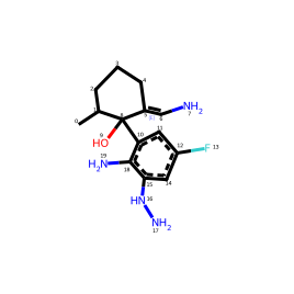 CC1CCC/C(=C\N)C1(O)c1cc(F)cc(NN)c1N